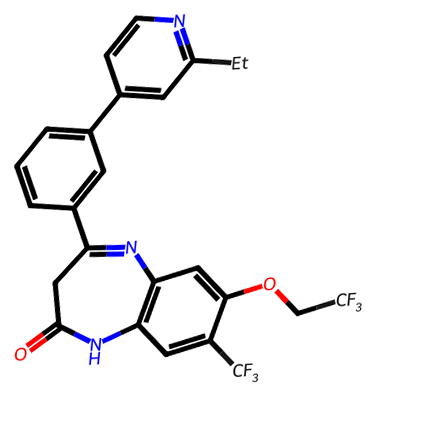 CCc1cc(-c2cccc(C3=Nc4cc(OCC(F)(F)F)c(C(F)(F)F)cc4NC(=O)C3)c2)ccn1